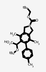 Cc1ccc(-c2c(C)c3c(c(C)c2C(OC(C)(C)C)C(=O)O)CN(C(=O)OCC(C)(C)C)C3)cc1